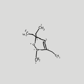 CC1=CC(C)(C)ON1C